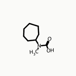 CN(C(=O)O)C1CCCCCC1